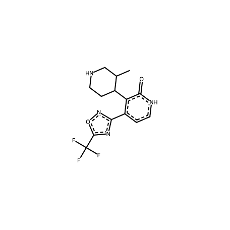 CC1CNCCC1c1c(-c2noc(C(F)(F)F)n2)cc[nH]c1=O